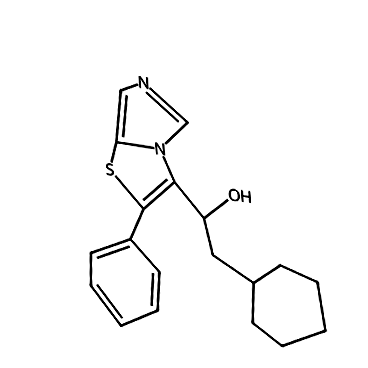 OC(CC1CCCCC1)c1c(-c2ccccc2)sc2cncn12